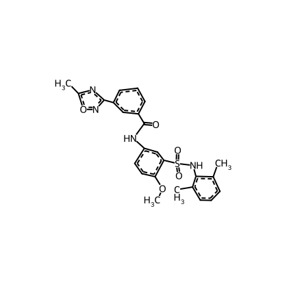 COc1ccc(NC(=O)c2cccc(-c3noc(C)n3)c2)cc1S(=O)(=O)Nc1c(C)cccc1C